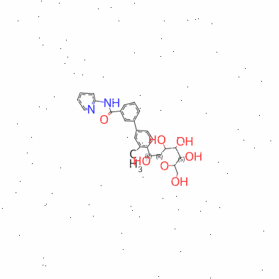 Cc1cc(-c2cccc(C(=O)Nc3ccccn3)c2)ccc1[C@@H](O)[C@H]1OC(CO)[C@@H](O)C(O)C1O